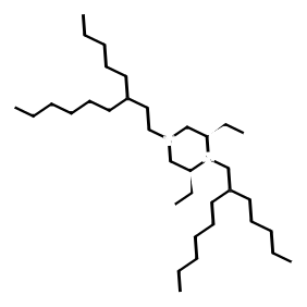 CCCCCCC(CCCCC)CCN1C[C@@H](CC)N(CC(CCCCC)CCCCCC)[C@@H](CC)C1